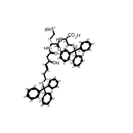 CSCC[C@@H](NC(=O)CC(O)/C=C/CCSC(c1ccccc1)(c1ccccc1)c1ccccc1)C(=O)N[C@H](CSC(c1ccccc1)(c1ccccc1)c1ccccc1)C(=O)O